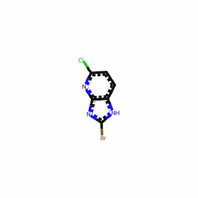 Clc1ccc2[nH]c(Br)nc2n1